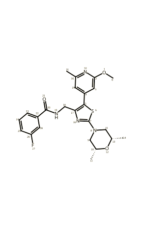 COc1cc(-c2sc(N3C[C@@H](C)O[C@@H](C)C3)nc2CNC(=O)c2cccc(F)c2)cc(C)n1